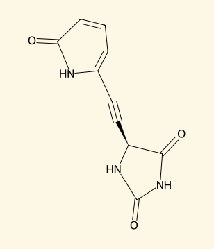 O=C1NC(=O)[C@H](C#Cc2cccc(=O)[nH]2)N1